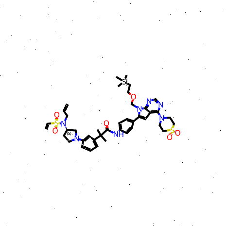 C=CCN([C@H]1CCN(c2cccc(C(C)(C)C(=O)Nc3ccc(-c4cc5c(N6CCS(=O)(=O)CC6)ncnc5n4COCC[Si](C)(C)C)cc3)c2)C1)S(=O)(=O)C=C